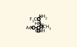 CC(=O)N1CCC(c2cc3c(NCc4cc(N)cc(C(F)(F)F)c4)nc(C)nc3c3c2OCCN3)CC1